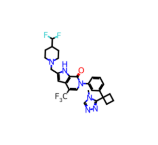 Cn1cnnc1C1(c2cccc(-n3cc(C(F)(F)F)c4cc(CN5CCC(C(F)F)CC5)[nH]c4c3=O)c2)CCC1